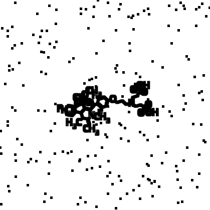 C/C=C(\C(C)C(CC1(SCc2c(F)cc(OCCCN(CCS(=O)(=O)O)CCS(=O)(=O)O)cc2F)CCC1C)c1ccc(F)cc1)N(C)c1ccc(OC)c(OC)c1